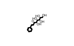 O=C(C=Cc1ccccc1)C(O)C(O)C(O)C(O)CO